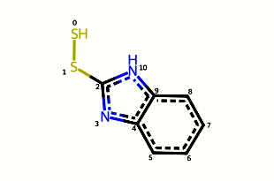 SSc1nc2ccccc2[nH]1